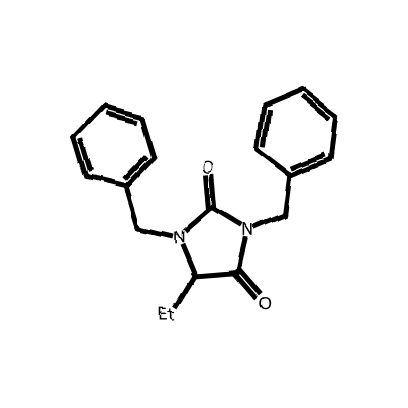 CCC1C(=O)N(Cc2ccccc2)C(=O)N1Cc1ccccc1